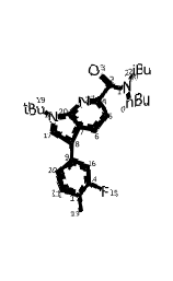 CCCCN(C(=O)c1ccc2c(-c3ccc(C)c(F)c3)cn(C(C)(C)C)c2n1)[C@H](C)CC